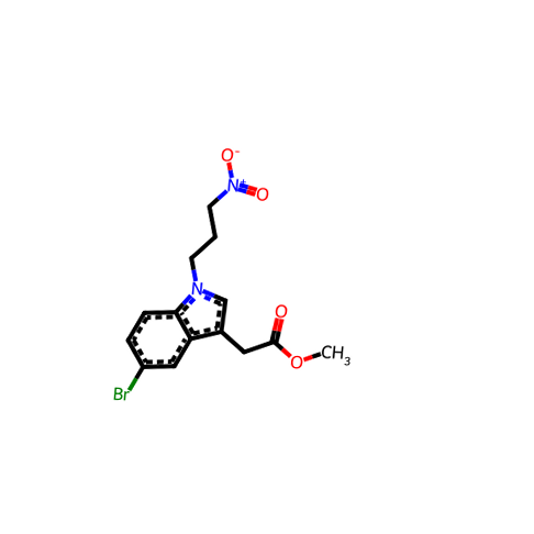 COC(=O)Cc1cn(CCC[N+](=O)[O-])c2ccc(Br)cc12